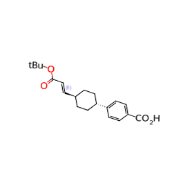 CC(C)(C)OC(=O)/C=C/[C@H]1CC[C@H](c2ccc(C(=O)O)cc2)CC1